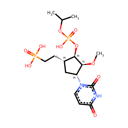 CO[C@@H]1[C@H](OP(=O)(O)OC(C)C)[C@@H](CCP(=O)(O)O)C[C@H]1n1ccc(=O)[nH]c1=O